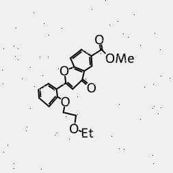 CCOCCOc1ccccc1-c1cc(=O)c2cc(C(=O)OC)ccc2o1